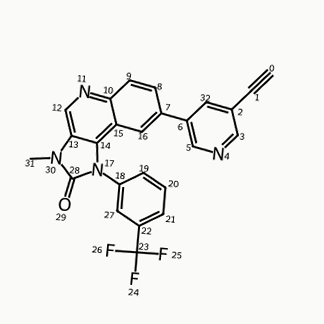 C#Cc1cncc(-c2ccc3ncc4c(c3c2)n(-c2cccc(C(F)(F)F)c2)c(=O)n4C)c1